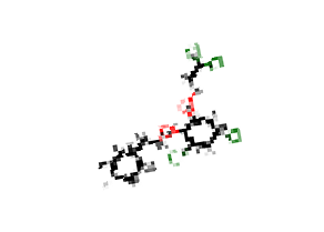 ClC(Cl)=CCOc1cc(Cl)cc(Cl)c1OCCc1ccccc1